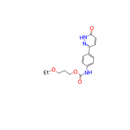 CCOCCCOC(=O)Nc1ccc(-c2ccc(=O)[nH]n2)cc1